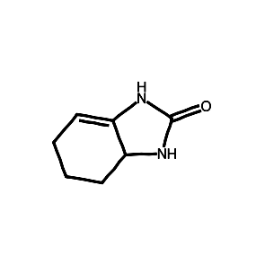 O=C1NC2=CCCCC2N1